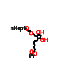 CCCCCCCOCCOCC[C@@H]1C(C/C=C\CCCC(=O)OC(C)C)[C@@H](O)C[C@H]1O